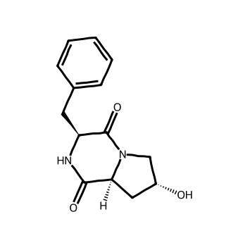 O=C1N[C@@H](Cc2ccccc2)C(=O)N2C[C@H](O)C[C@@H]12